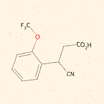 N#CC(CC(=O)O)c1ccccc1OC(F)(F)F